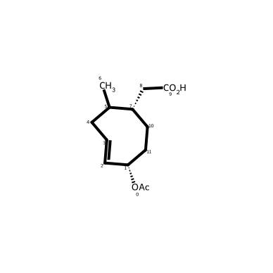 CC(=O)O[C@@H]1/C=C/CC(C)[C@H](CC(=O)O)CC1